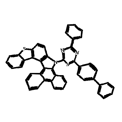 c1ccc(-c2ccc(-c3nc(-c4ccccc4)nc(-n4c5ccc6sc7ccccc7c6c5c5c6ccccc6c6ccccc6c54)n3)cc2)cc1